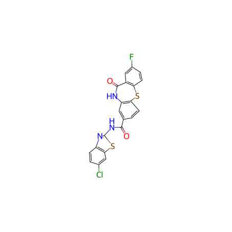 O=C(Nc1nc2ccc(Cl)cc2s1)c1ccc2c(c1)NC(=O)c1cc(F)ccc1S2